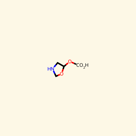 O=C(O)OC1CNCO1